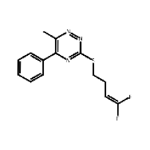 Cc1nnc(SCCC=C(F)F)nc1-c1ccccc1